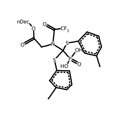 CCCCCCCCCCOC(=O)CN(C(=O)C(F)(F)F)C(Sc1cccc(C)c1)(Sc1cccc(C)c1)P(=O)(O)O